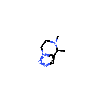 CC1c2cnnn2CCN1C